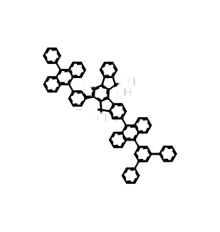 CC1(C)c2ccccc2-c2c1c1c(c3c2oc2c(-c4c5ccccc5c(-c5ccccc5)c5ccccc45)cccc23)C(C)(C)c2cc(-c3c4ccccc4c(-c4cc(-c5ccccc5)cc(-c5ccccc5)c4)c4ccccc34)ccc2-1